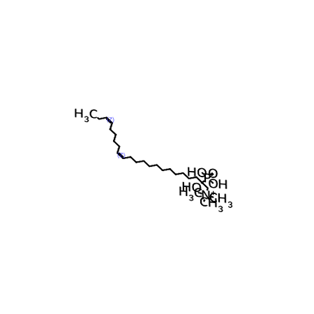 CC/C=C\CCCC/C=C\CCCCCCCCCCCC(O)(C[N+](C)(C)C)P(=O)(O)O